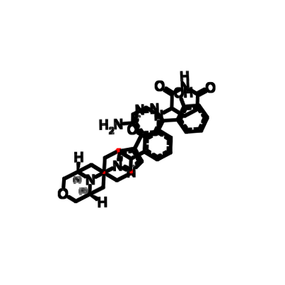 Nc1nnc(-c2ccccc2O)cc1-c1cnn(C2C[C@H]3COC[C@@H](C2)N3C2CCC(c3cccc4c3OCCN4C3CCC(=O)NC3=O)CC2)c1